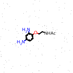 CC(=O)NCCOc1ccc(N)cc1N